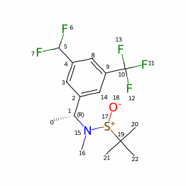 C[C@H](c1cc(C(F)F)cc(C(F)(F)F)c1)N(C)[S+]([O-])C(C)(C)C